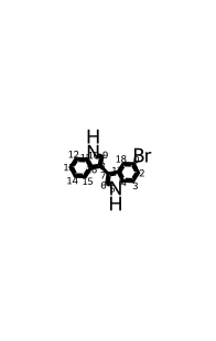 Brc1ccc2[nH]cc(-c3c[nH]c4ccccc34)c2c1